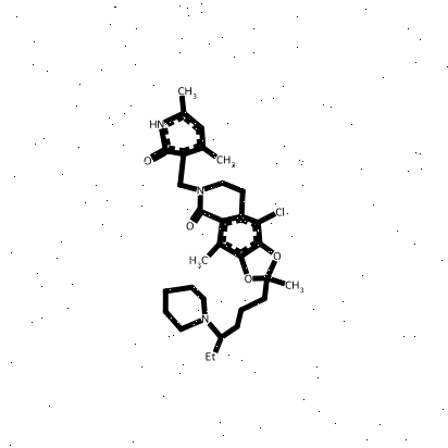 CCC(CCCC1(C)Oc2c(C)c3c(c(Cl)c2O1)CCN(Cc1c(C)cc(C)[nH]c1=O)C3=O)N1CCCCC1